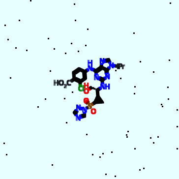 CC(C)n1cnc2c(Nc3ccc(C(=O)O)c(Cl)c3)nc(N[C@@H](CO)C3CC3S(=O)(=O)n3cncn3)nc21